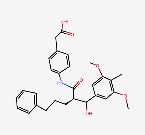 COc1cc(C(O)[C@@H](CCCc2ccccc2)C(=O)Nc2ccc(CC(=O)O)cc2)cc(OC)c1C